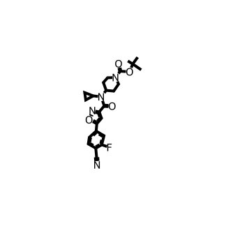 CC(C)(C)OC(=O)N1CCC(N(C(=O)c2cc(-c3ccc(C#N)c(F)c3)on2)C2CC2)CC1